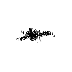 C#CCOCCOCCO[C@]1(C(=O)OC)C[C@H](OC(C)=O)[C@@H](NC(=O)C(F)F)[C@H]([C@H](OC(C)=O)[C@@H](CNC(=O)Cc2ccc(-c3ccc(OC(C)=O)cc3)cc2)OC(C)=O)O1